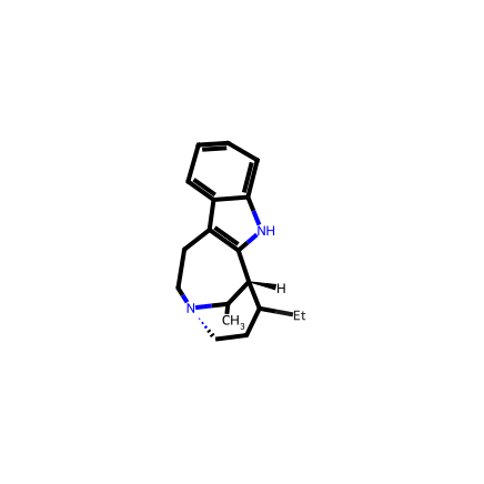 CCC1CC[N@]2CCc3c([nH]c4ccccc34)[C@H]1C2C